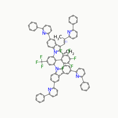 C=Cc1c(/C=C(\C)c2cccc(-c3ccccc3)n2)c2cc(-c3cccc(-c4ccccc4)n3)ccc2n1-c1cc(C(F)(F)F)cc(-n2c3ccc(-c4cccc(-c5ccccc5)n4)cc3c3cc(-c4cccc(-c5ccccc5)n4)ccc32)c1-c1c(F)c(F)c(F)c(F)c1F